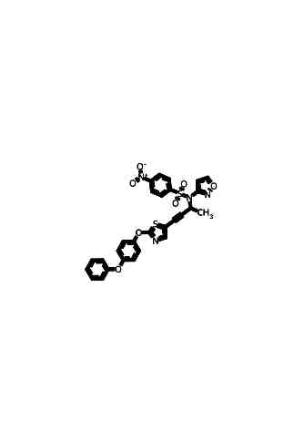 CC(C#Cc1cnc(Oc2ccc(Oc3ccccc3)cc2)s1)N(c1ccon1)S(=O)(=O)c1ccc([N+](=O)[O-])cc1